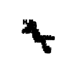 COc1cc2c(Oc3ccc(N(C(=O)C4(C(N)=O)CC4)c4ccc(F)cc4)cc3F)ncnc2cc1OCCCN1CCOCC1